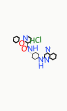 CN(C)c1cc(N[C@H]2CC[C@@H](CNC(=O)c3cccnc3Oc3ccccc3)CC2)nc2ccccc12.Cl